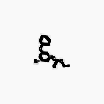 CCOC(=O)C[n+]1cccc(Oc2ccccc2)c1.[Br-]